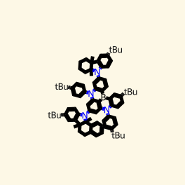 CC(C)(C)c1ccc(N2c3ccc(C(C)(C)C)cc3B3c4ccc(N5c6ccc(C(C)(C)C)cc6C6(C)CCCCC56C)cc4N(c4ccc(C(C)(C)C)cc4)c4cc(N5c6ccc(C(C)(C)C)cc6C6(C)CCc7ccccc7C56C)cc2c43)cc1